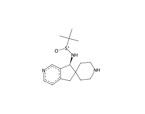 CC(C)(C)[S+]([O-])N[C@@H]1c2cnccc2CC12CCNCC2